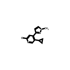 Cn1ccc(-c2cc(Cl)ncc2C2CC2)n1